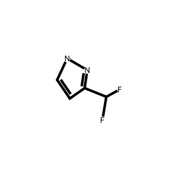 FC(F)C1=N[N]C=C1